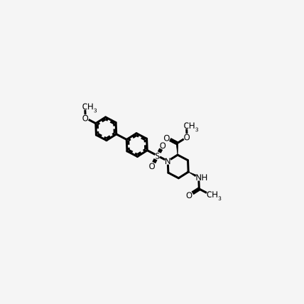 COC(=O)[C@H]1C[C@@H](NC(C)=O)CCN1S(=O)(=O)c1ccc(-c2ccc(OC)cc2)cc1